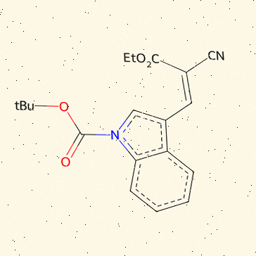 CCOC(=O)/C(C#N)=C\c1cn(C(=O)OC(C)(C)C)c2ccccc12